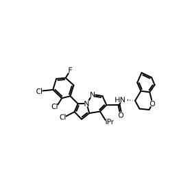 CC(C)c1c(C(=O)N[C@H]2CCOc3ccccc32)cnn2c(-c3cc(F)cc(Cl)c3Cl)c(Cl)cc12